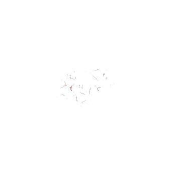 C=C1C2C(CCc3ncccc3N2c2ccccc2-c2ccccc2)c2ccc3cc2C1(CC)CCC3(C)C